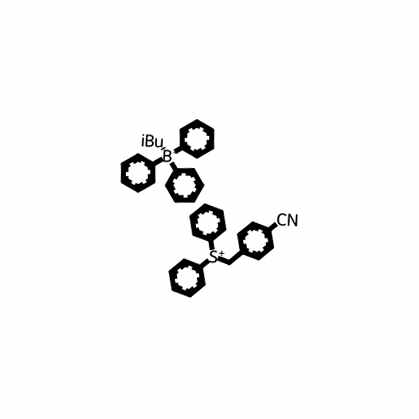 CCC(C)[B-](c1ccccc1)(c1ccccc1)c1ccccc1.N#Cc1ccc(C[S+](c2ccccc2)c2ccccc2)cc1